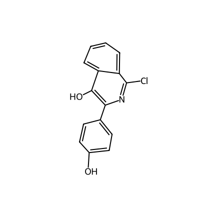 Oc1ccc(-c2nc(Cl)c3ccccc3c2O)cc1